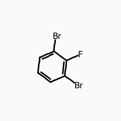 Fc1c(Br)cccc1Br